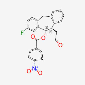 O=CC[C@@H]1c2ccccc2Cc2ccc(F)cc2[C@H]1OC(=O)c1ccc([N+](=O)[O-])cc1